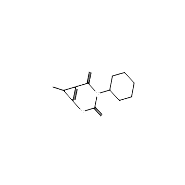 CCC1c2[nH]c(=O)n(C3CCCCC3)c(=O)c21